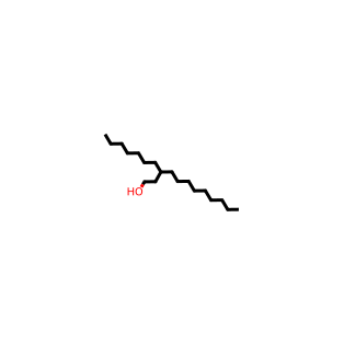 CCCCCCCCCC(CCO)CCCCCCC